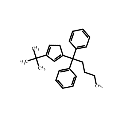 CCCCC(C1=CC(C(C)(C)C)=CC1)(c1ccccc1)c1ccccc1